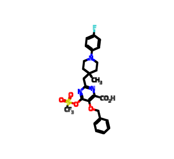 CC1(Cc2nc(OS(=O)(=O)C(F)(F)F)c(OCc3ccccc3)c(C(=O)O)n2)CCN(c2ccc(F)cc2)CC1